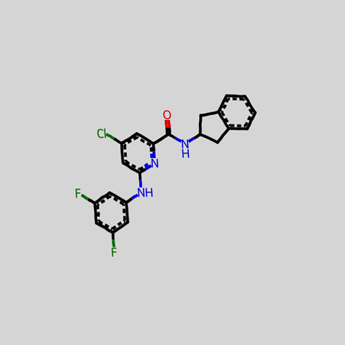 O=C(NC1Cc2ccccc2C1)c1cc(Cl)cc(Nc2cc(F)cc(F)c2)n1